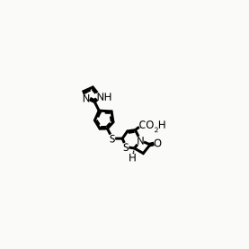 O=C(O)C1=CC(Sc2ccc(-c3ncc[nH]3)cc2)S[C@@H]2CC(=O)N12